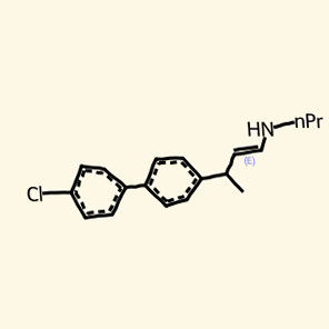 CCCN/C=C/C(C)c1ccc(-c2ccc(Cl)cc2)cc1